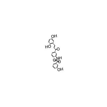 O=C(C=Cc1cc(O)ccc1O)c1cccc(NS(=O)(=O)c2cccc(O)c2)c1